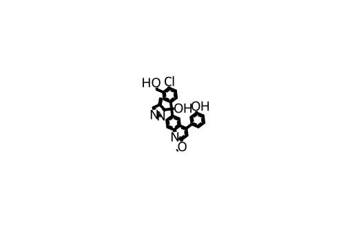 C=C1C=NN=C1C(O)(c1ccc(Cl)c(CO)c1)c1ccc2nc(OC)cc(-c3cccc(O)c3)c2c1